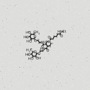 CCNC(=O)CCCCC(=O)N1CC[C@@H](C(=O)NCCO[C@@H]2O[C@@H](C)[C@@H](O)[C@@H](O)[C@@H]2O)[C@@H](C(=O)NCCO[C@@H]2O[C@@H](C)[C@@H](O)[C@@H](O)[C@@H]2O)C1